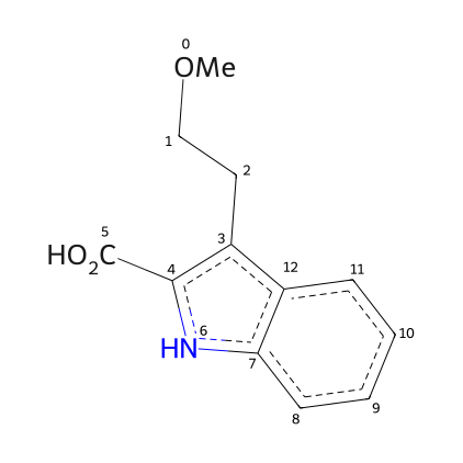 COCCc1c(C(=O)O)[nH]c2ccccc12